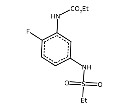 CCOC(=O)Nc1cc(NS(=O)(=O)CC)ccc1F